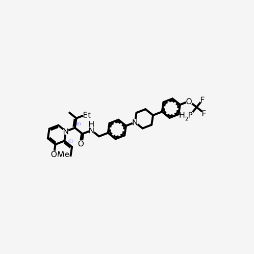 C/C=C1\C(OC)=CC=CN1/C(C(=O)NCc1ccc(N2CCC(c3ccc(OC(F)(F)P)cc3)CC2)cc1)=C(\C)CC